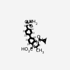 C[C@H]1CN(C(=O)C2CC2)c2cc(-c3ccc(CS(N)(=O)=O)cc3)ccc2N1C(=O)O